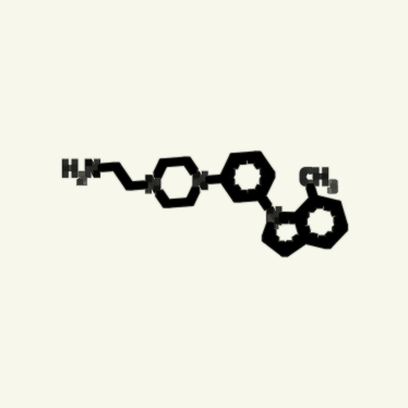 Cc1cccc2ccn(-c3cccc(N4CCN(CCN)CC4)c3)c12